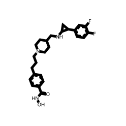 O=C(NO)c1ccc(CCCN2CCC(CNC3CC3c3ccc(F)c(F)c3)CC2)cc1